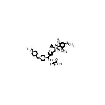 COc1cc(C)c(S(=O)(=O)N(Cc2cc(C(=O)N3CCN(CC4CCN(C)CC4)CC3)co2)C2CC2)c(C)c1.O=C(O)C(F)(F)F